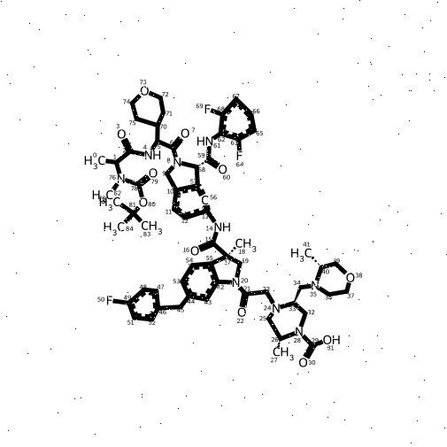 CC(C(=O)NC(C(=O)N1Cc2ccc(NC(=O)[C@@]3(C)CN(C(=O)CN4C[C@@H](C)N(C(=O)O)C[C@@H]4CN4CCOC[C@H]4C)c4cc(Cc5ccc(F)cc5)ccc43)cc2[C@H]1C(=O)Nc1c(F)cccc1F)C1CCOCC1)N(C)C(=O)OC(C)(C)C